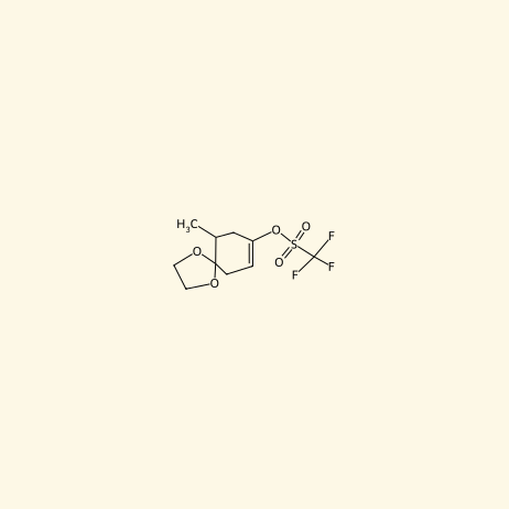 CC1CC(OS(=O)(=O)C(F)(F)F)=CCC12OCCO2